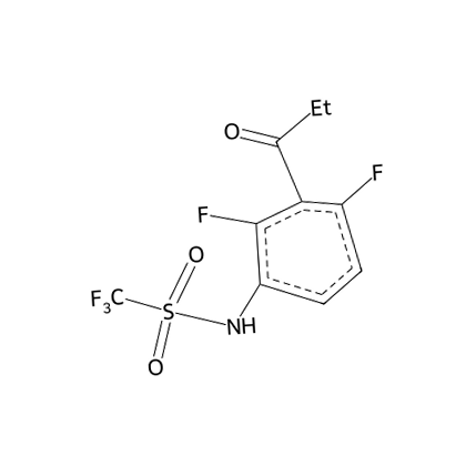 CCC(=O)c1c(F)ccc(NS(=O)(=O)C(F)(F)F)c1F